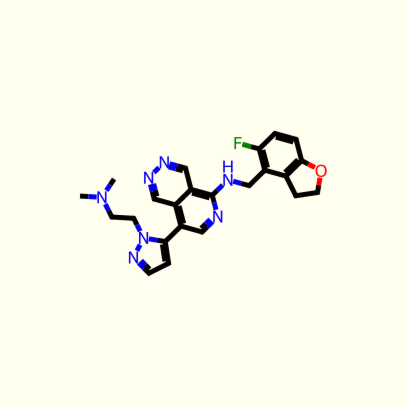 CN(C)CCn1nccc1-c1cnc(NCc2c(F)ccc3c2CCO3)c2cnncc12